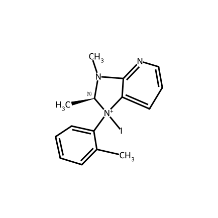 Cc1ccccc1[N+]1(I)c2cccnc2N(C)[C@@H]1C